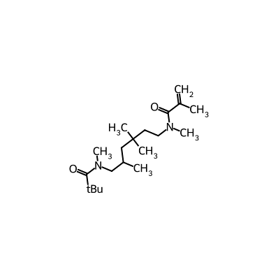 C=C(C)C(=O)N(C)CCC(C)(C)CC(C)CN(C)C(=O)C(C)(C)C